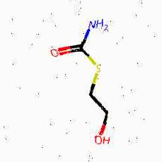 NC(=O)SCCO